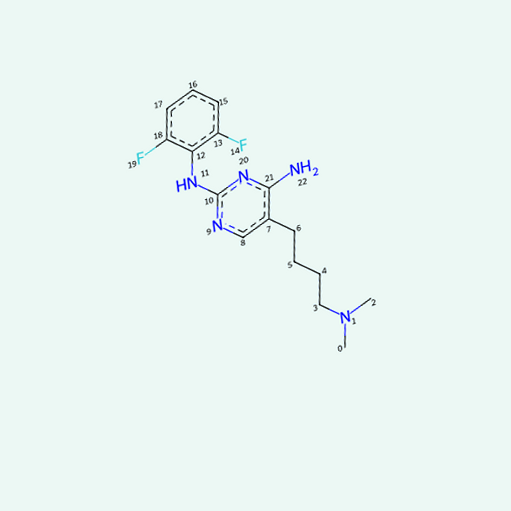 CN(C)CCCCc1cnc(Nc2c(F)cccc2F)nc1N